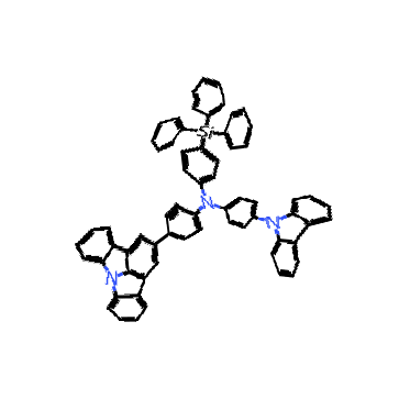 c1ccc([Si](c2ccccc2)(c2ccccc2)c2ccc(N(c3ccc(-c4cc5c6ccccc6n6c7ccccc7c(c4)c56)cc3)c3ccc(-n4c5ccccc5c5ccccc54)cc3)cc2)cc1